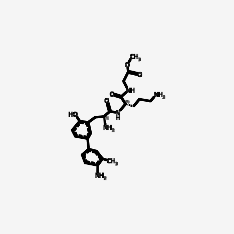 COC(=O)CNC(=O)[C@H](CCCN)NC(=O)[C@@H](N)Cc1cc(-c2ccc(N)c(C)c2)ccc1O